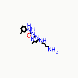 Cc1cccc(NC(=O)Nc2nc(C)cc(NCCCCN)n2)c1